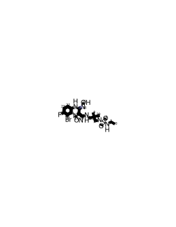 CCNS(=O)(=O)N1CC(C)(CNc2nonc2/C(=N/O)Nc2ccc(F)c(Br)c2)C1